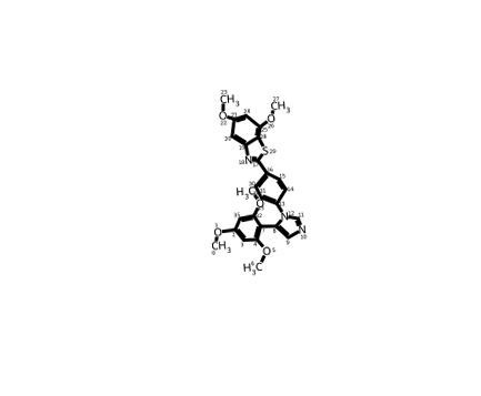 COc1cc(OC)c(-c2cncn2-c2ccc(-c3nc4cc(OC)cc(OC)c4s3)cc2)c(OC)c1